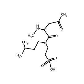 CNC(CC(C)=O)C(=O)N(CCC(C)C)CCS(=O)(=O)O